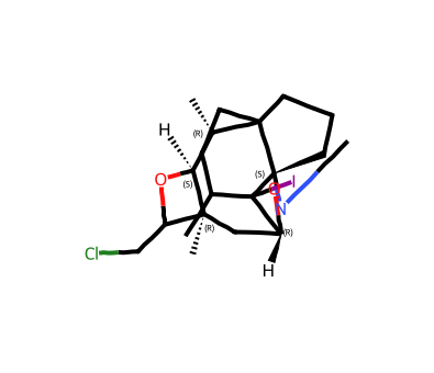 CC1CCC23CCC[C@]24N(C)O[C@H](C[C@@]2(C)C(CCl)O[C@H]2[C@@H]3C)C14I